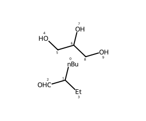 CCCCC(C=O)CC.OCC(O)CO